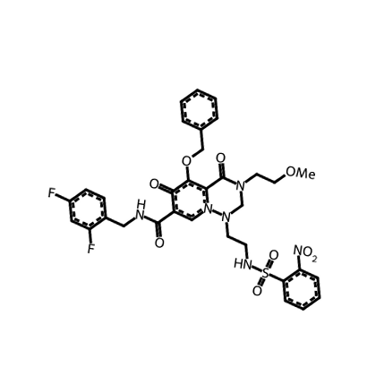 COCCN1CN(CCNS(=O)(=O)c2ccccc2[N+](=O)[O-])n2cc(C(=O)NCc3ccc(F)cc3F)c(=O)c(OCc3ccccc3)c2C1=O